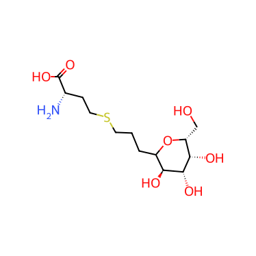 N[C@@H](CCSCCCC1O[C@H](CO)[C@H](O)[C@H](O)[C@H]1O)C(=O)O